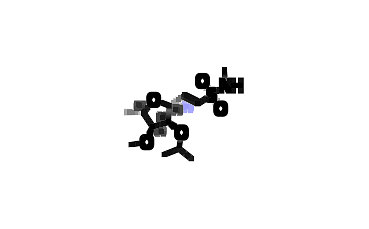 CNS(=O)(=O)/C=C/[C@H]1O[C@@H](C)[C@H](OC)[C@@H]1OC(C)C